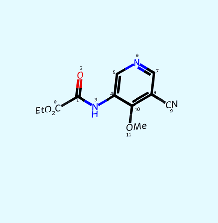 CCOC(=O)C(=O)Nc1cncc(C#N)c1OC